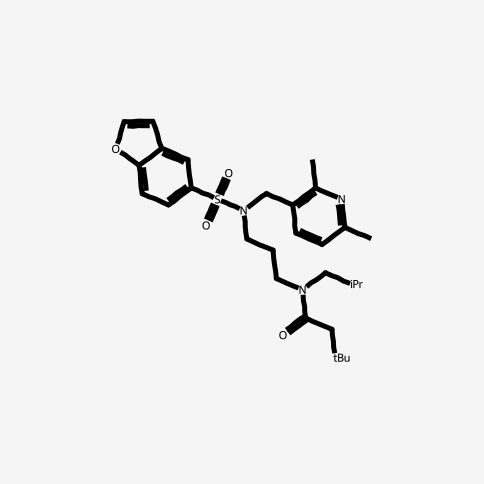 Cc1ccc(CN(CCCN(CC(C)C)C(=O)CC(C)(C)C)S(=O)(=O)c2ccc3occc3c2)c(C)n1